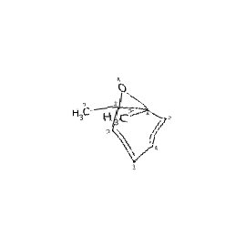 CC12C=CC=CC1(C)O2